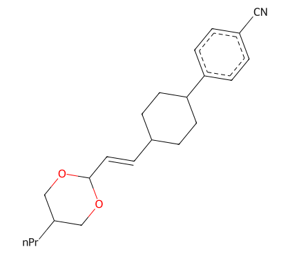 CCCC1COC(C=CC2CCC(c3ccc(C#N)cc3)CC2)OC1